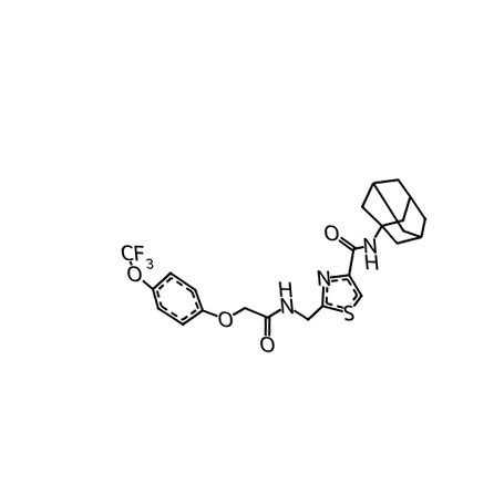 O=C(COc1ccc(OC(F)(F)F)cc1)NCc1nc(C(=O)NC23CC4CC(CC(C4)C2)C3)cs1